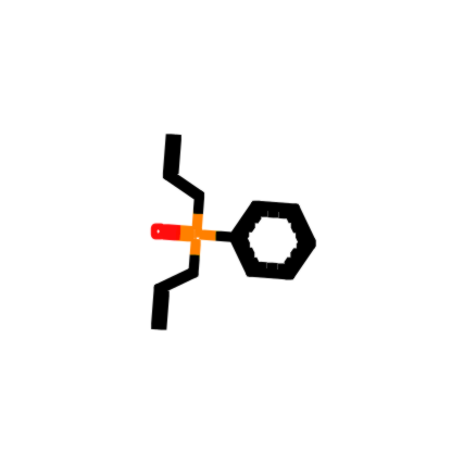 C=CCP(=O)(CC=C)c1ccccc1